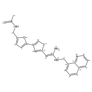 CC(=O)NCc1ccc(-c2csc(/N=C(\N)NCc3cccc4cccnc34)n2)o1